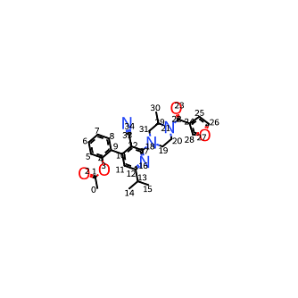 CC(=O)Oc1ccccc1-c1cc(C(C)C)nc(N2CCN(C(=O)c3ccoc3)C(C)C2)c1C#N